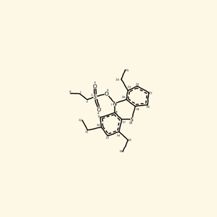 CCCS(=O)(=O)ON1c2cc(CC)cc(CC)c2Sc2cccc(CC)c21